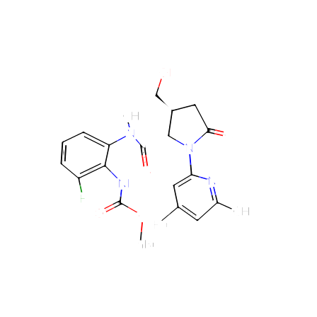 CCCCOC(=O)Nc1c(F)cccc1N(C)C(=O)[C@@H]1[C@@H](CO)CC(=O)N1c1cc(C(F)(F)F)cc(C)n1